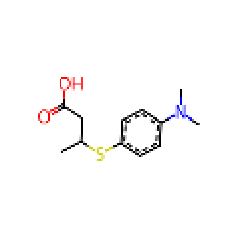 CC(CC(=O)O)Sc1ccc(N(C)C)cc1